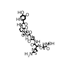 CC(C)(ON=C(C(=O)N[C@H]1CN(C(=O)NS(=O)(=O)N2CCN(NC(=O)c3cc(=O)c(O)c[nH]3)C2=O)C1=O)c1csc(N)n1)C(=O)NO